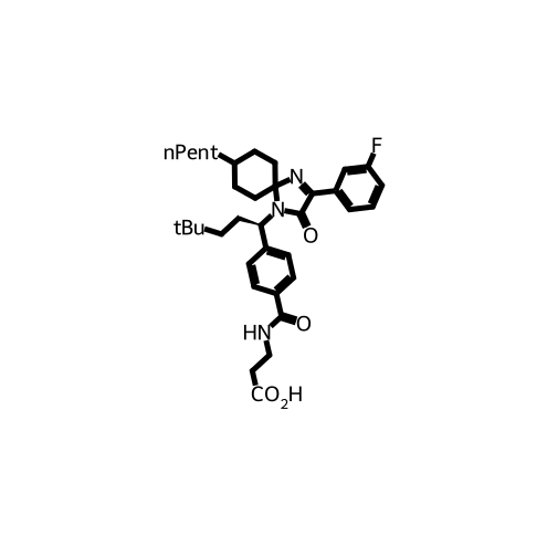 CCCCCC1CCC2(CC1)N=C(c1cccc(F)c1)C(=O)N2[C@H](CCC(C)(C)C)c1ccc(C(=O)NCCC(=O)O)cc1